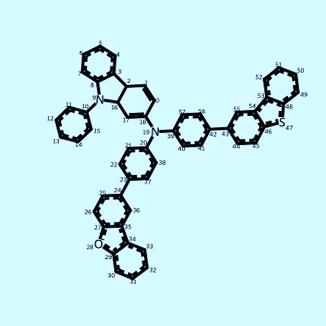 C1=CC2c3ccccc3N(c3ccccc3)C2C=C1N(c1ccc(-c2ccc3oc4ccccc4c3c2)cc1)c1ccc(-c2ccc3sc4ccccc4c3c2)cc1